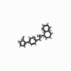 Cn1nccc1-c1ccc(CNC2CCCc3cccnc32)nc1